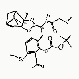 CSCC(=O)N[C@@H](Cc1ccc(SC)c(C(C)=O)c1OC(=O)OC(C)(C)C)B1OC2CC3CC(C3(C)C)[C@]2(C)O1